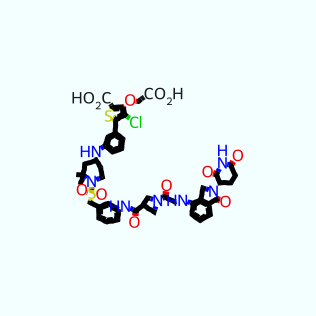 CC1(C)C[C@@H](Nc2cccc(-c3sc(C(=O)O)c(OCC(=O)O)c3Cl)c2)CCN1S(=O)(=O)Cc1cccc(NC(=O)C2CN(C(=O)CNc3cccc4c3CN([C@H]3CCC(=O)NC3=O)C4=O)C2)c1